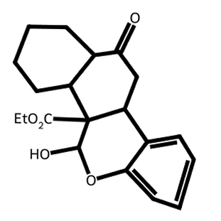 CCOC(=O)C12C(O)Oc3ccccc3C1CC(=O)C1CCCCC12